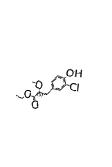 CCOC(=O)[C@H](Cc1ccc(O)c(Cl)c1)OC